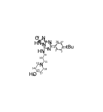 CC(C)(C)c1ccc(-c2nc(NCCCN3CCC(O)CC3)n3[nH]c(=O)nc3n2)cc1